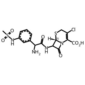 CS(=O)(=O)Nc1cccc(C(N)C(=O)NC2C(=O)N3C(C(=O)O)=C(Cl)CS[C@@H]23)c1